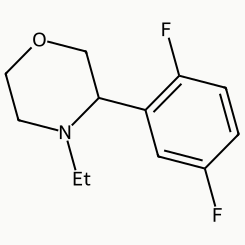 CCN1CCOCC1c1cc(F)ccc1F